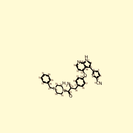 N#Cc1ccc(-c2c[nH]c3nccc(Oc4ccc(CC(N)C(=O)N5CCN(Cc6ccccc6)CC5)cc4)c23)s1